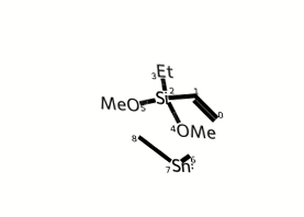 C=C[Si](CC)(OC)OC.[CH3][Sn][CH3]